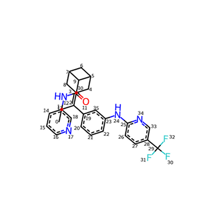 CCC(=C1CC2CC(C1)C2C(=O)Nc1cccnc1)c1cccc(Nc2ccc(C(F)(F)F)cn2)c1